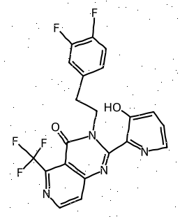 O=c1c2c(C(F)(F)F)nccc2nc(-c2ncccc2O)n1CCc1ccc(F)c(F)c1